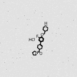 Cl.O=C(C1CC=C(c2ccc(OCC3CCNCC3)c(F)c2)CC1)N1CCCC1